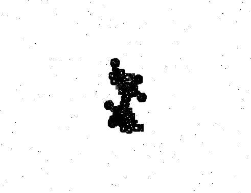 CC1=C(C#N)C(=O)N(C(=O)OCc2ccccc2)C(=O)/C1=N\c1nc2c(s1)C1=CC3C=C4OC(C(=O)OCc5ccccc5)(C(=O)OCc5ccccc5)c5nc(/N=C6/C(=O)N(C(=O)OCc7ccccc7)C(=O)C(C#N)=C6C)sc5C4=CC3C=C1OC2(C(=O)OCc1ccccc1)C(=O)OCc1ccccc1